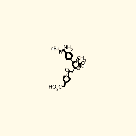 CCCCN=C(N)c1ccc([C@@H]2C[C@H](CC(=O)N3CCC(CC(=O)O)CC3)OC(=O)N2C)cc1.Cl